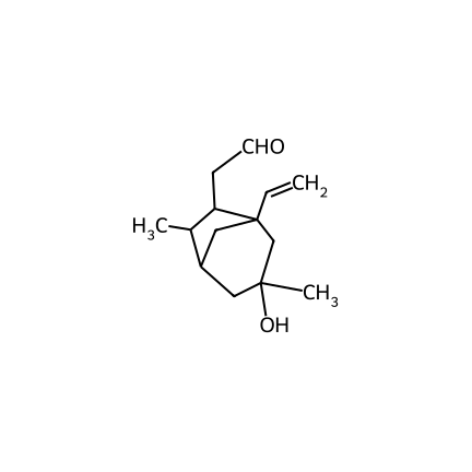 C=CC12CC(CC(C)(O)C1)C(C)C2CC=O